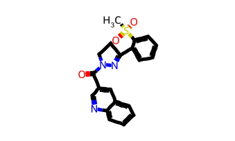 CS(=O)(=O)c1ccccc1C1=NN(C(=O)c2cnc3ccccc3c2)CC1